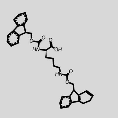 O=C(NCCCC[C@@H](NC(=O)OCC1c2ccccc2-c2ccccc21)C(=O)O)OCC1C2=C(CCC=C2)c2ccccc21